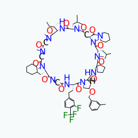 CC[C@H](C)[C@@H]1NC(=O)[C@H](CC(C)C)N(C)C(=O)C[C@@H](C(=O)N2CCCCC2)N(C)C(=O)[C@H](CC(C)C)N(C)C(=O)C2(CCCC2)NC(=O)[C@@H]2C[C@@H](OCc3cccc(C)c3)CN2C(=O)[C@H](CCc2ccc(C(F)(F)F)c(F)c2)NC(=O)CN(C)C(=O)[C@H](CC2CCCCC2)N(C)C(=O)CN(C)C(=O)CN(C)C1=O